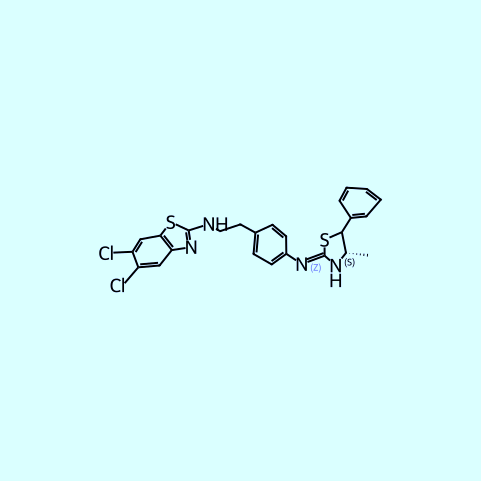 C[C@@H]1N/C(=N/c2ccc(CCNc3nc4cc(Cl)c(Cl)cc4s3)cc2)SC1c1ccccc1